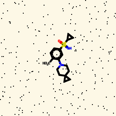 N=S(=O)(c1ccc(C(=O)O)c(N2CCC3(CC2)CC3)c1)C1CC1